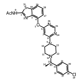 CC(=O)Nc1nc2c(Oc3cc(N4CCN([C@H](C)c5ccc(Cl)cc5)CC4)ncn3)cccc2s1